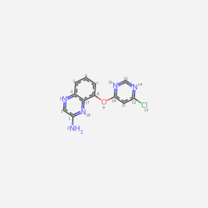 Nc1cnc2cccc(Oc3cc(Cl)ncn3)c2n1